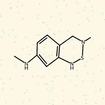 CNc1ccc2c(c1)NSN(C)C2